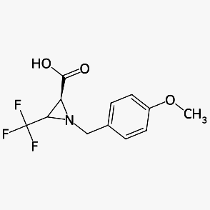 COc1ccc(CN2C(C(F)(F)F)[C@H]2C(=O)O)cc1